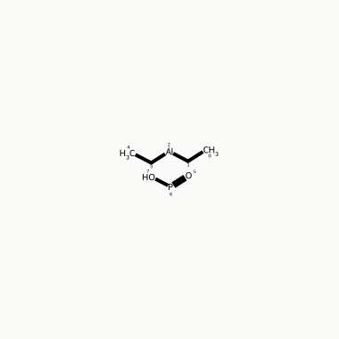 C[CH2][Al][CH2]C.O=PO